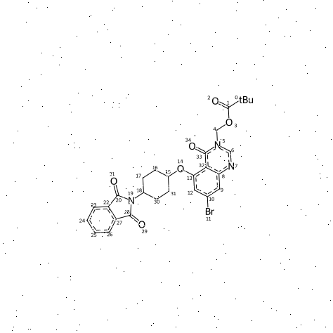 CC(C)(C)C(=O)OCn1cnc2cc(Br)cc(OC3CCC(N4C(=O)c5ccccc5C4=O)CC3)c2c1=O